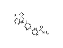 NC(=O)c1nccc(-c2ccc(NCC3(c4ncccc4F)CCC3)nn2)n1